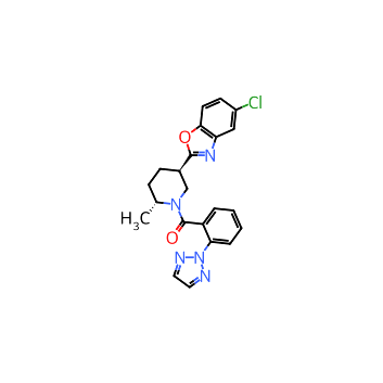 C[C@@H]1CC[C@@H](c2nc3cc(Cl)ccc3o2)CN1C(=O)c1ccccc1-n1nccn1